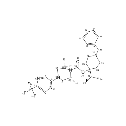 C[C@@H]1CN(c2cnc(C(F)(F)F)cn2)C[C@H](C)N1C(=O)OC1(C(F)F)CCN(Cc2ccccc2)CC1